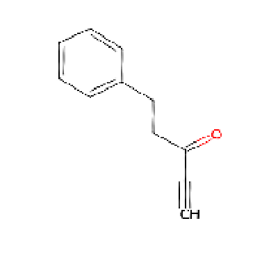 C#CC(=O)CCc1ccccc1